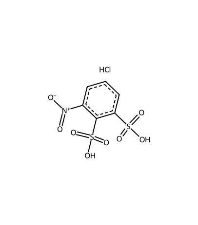 Cl.O=[N+]([O-])c1cccc(S(=O)(=O)O)c1S(=O)(=O)O